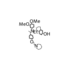 CCN(c1cc(OC)c(OC)cc1[C@@H]1CCc2cc(O)ccc2C1)C(C)c1ccc(OCCN2CCCCCC2)cc1